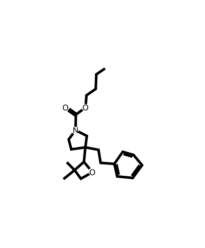 CCCCOC(=O)N1CCC(CCc2ccccc2)(C2OCC2(C)C)C1